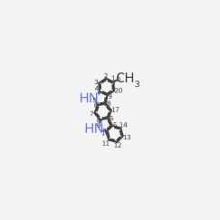 Cc1ccc2[nH]c3cc4[nH]c5ccccc5c4cc3c2c1